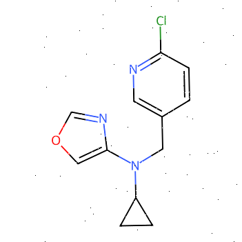 Clc1ccc(CN(c2cocn2)C2CC2)cn1